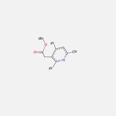 CC(C)c1cc(C#N)nc(C(C)C)c1CC(=O)OC(C)(C)C